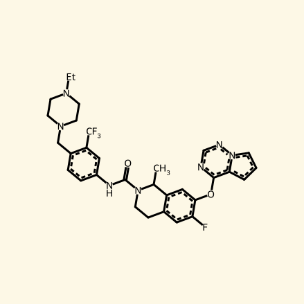 CCN1CCN(Cc2ccc(NC(=O)N3CCc4cc(F)c(Oc5ncnn6cccc56)cc4C3C)cc2C(F)(F)F)CC1